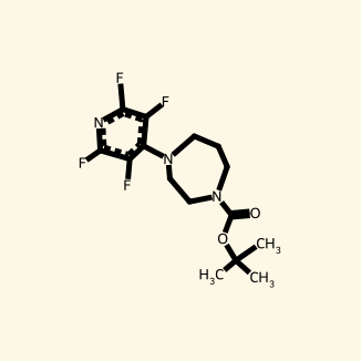 CC(C)(C)OC(=O)N1CCCN(c2c(F)c(F)nc(F)c2F)CC1